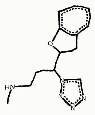 CNCCC(C1Cc2ccccc2O1)n1cnnn1